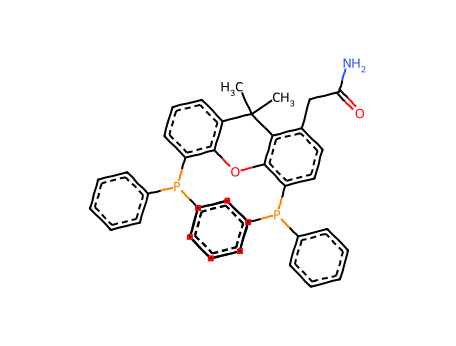 CC1(C)c2cccc(P(c3ccccc3)c3ccccc3)c2Oc2c(P(c3ccccc3)c3ccccc3)ccc(CC(N)=O)c21